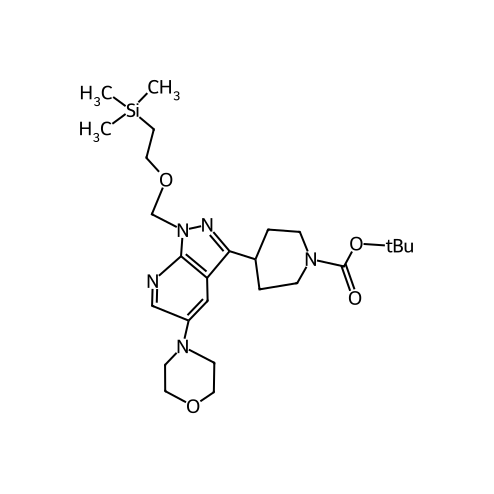 CC(C)(C)OC(=O)N1CCC(c2nn(COCC[Si](C)(C)C)c3ncc(N4CCOCC4)cc23)CC1